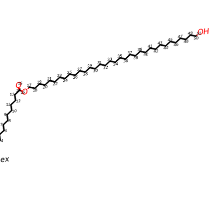 CCCCCCC=CCCCCCCCCCCCC(=O)OCCCCCCCCCCCCCCCCCCCCCCCCCCCCCCCCCCO